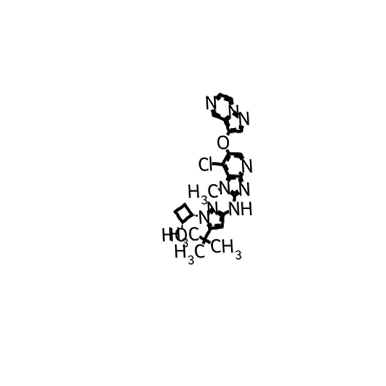 Cn1c(Nc2cc(C(C)(C)C)n([C@H]3CC[C@H]3O)n2)nc2ncc(Oc3cnn4ccncc34)c(Cl)c21